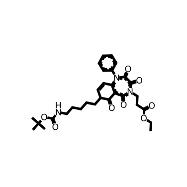 CCOC(=O)CCn1c(=O)c2c(n(-c3ccccc3)c(=O)c1=O)C=CC(CCCCCNC(=O)OC(C)(C)C)C2=O